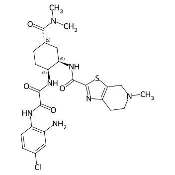 CN1CCc2nc(C(=O)N[C@@H]3C[C@@H](C(=O)N(C)C)CC[C@@H]3NC(=O)C(=O)Nc3ccc(Cl)cc3N)sc2C1